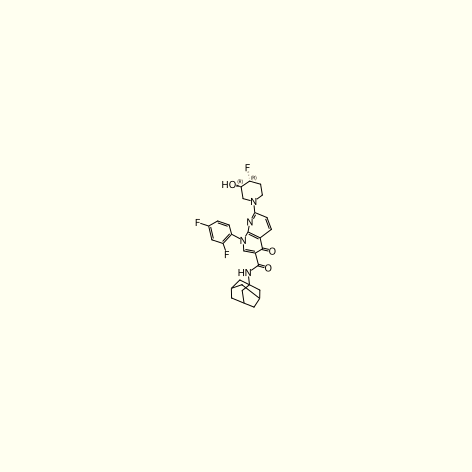 O=C(NC12CC3CC(CC(C3)C1)C2)c1cn(-c2ccc(F)cc2F)c2nc(N3CC[C@@H](F)[C@H](O)C3)ccc2c1=O